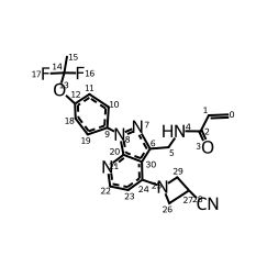 C=CC(=O)NCc1nn(-c2ccc(OC(C)(F)F)cc2)c2nccc(N3CC(C#N)C3)c12